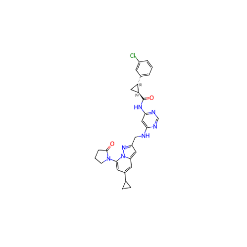 O=C(Nc1cc(NCc2cc3cc(C4CC4)cc(N4CCCC4=O)n3n2)ncn1)[C@H]1C[C@@H]1c1cccc(Cl)c1